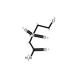 NC(=O)CS(=O)(=O)CCCl